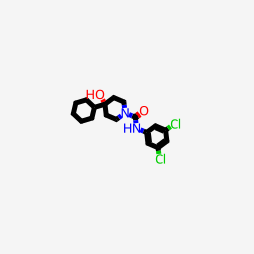 O=C(Nc1cc(Cl)cc(Cl)c1)N1CCC(O)(C2CCCCC2)CC1